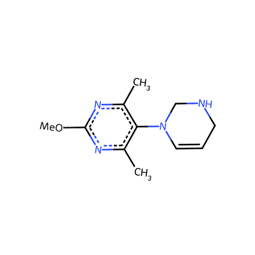 COc1nc(C)c(N2C=CCNC2)c(C)n1